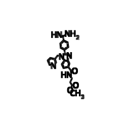 COC(=O)CCNC(=O)c1ccc2c(c1)nc(-c1ccc(C(=N)N)cc1)n2Cc1cccnc1